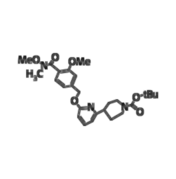 COc1cc(COc2cccc(C3CCN(C(=O)OC(C)(C)C)CC3)n2)ccc1C(=O)N(C)OC